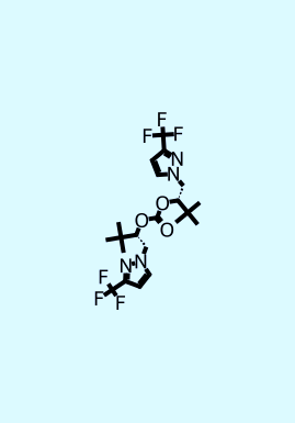 CC(C)(C)[C@@H](Cn1ccc(C(F)(F)F)n1)OC(=O)O[C@H](Cn1ccc(C(F)(F)F)n1)C(C)(C)C